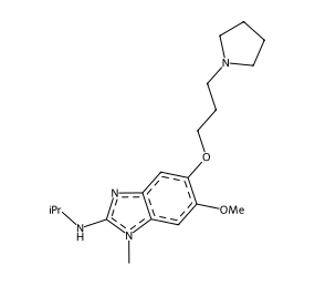 COc1cc2c(cc1OCCCN1CCCC1)nc(NC(C)C)n2C